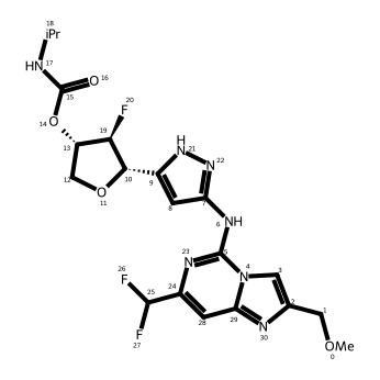 COCc1cn2c(Nc3cc([C@@H]4OC[C@H](OC(=O)NC(C)C)[C@H]4F)[nH]n3)nc(C(F)F)cc2n1